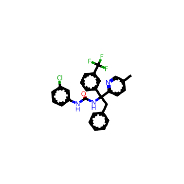 Cc1ccc(C(Cc2ccccc2)(NC(=O)Nc2cccc(Cl)c2)c2cccc(C(F)(F)F)c2)nc1